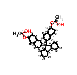 CC(O)Oc1ccc2cc(C3(c4ccc5cc(OC(C)O)ccc5c4)c4ccccc4-c4ccccc43)ccc2c1